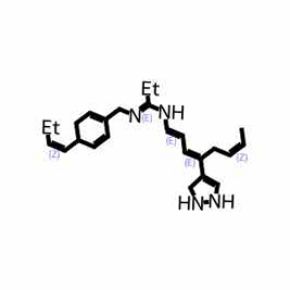 C/C=C\C/C(=C\C=C\N/C(CC)=N/CC1=CCC(/C=C\CC)C=C1)C1=CNNC1